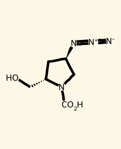 [N-]=[N+]=N[C@@H]1C[C@@H](CO)N(C(=O)O)C1